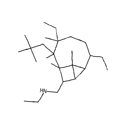 CCNCC1C2C3C(CC)CCC(C)(CC)C(C)(CC(C)(C)C)C1(C)C32C